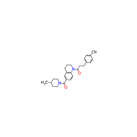 CC1CCN(C(=O)c2ccc3c(c2)CCCN3C(=O)CCc2ccc(C#N)cc2)CC1